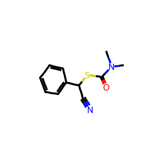 CN(C)C(=O)SC(C#N)c1ccccc1